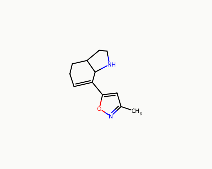 Cc1cc(C2=CCCC3CCNC23)on1